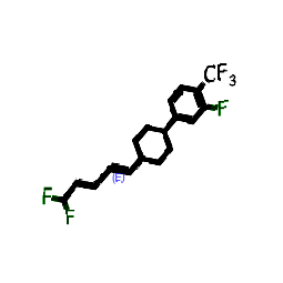 Fc1cc(C2CCC(/C=C/CCC(F)F)CC2)ccc1C(F)(F)F